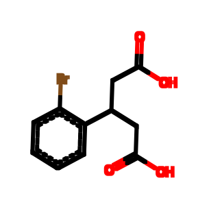 O=C(O)CC(CC(=O)O)c1ccccc1Br